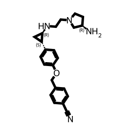 N#Cc1ccc(COc2ccc([C@@H]3C[C@H]3NCCN3CC[C@@H](N)C3)cc2)cc1